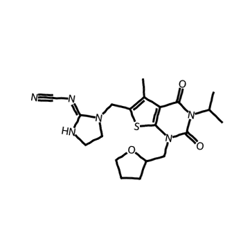 Cc1c(CN2CCNC2=NC#N)sc2c1c(=O)n(C(C)C)c(=O)n2CC1CCCO1